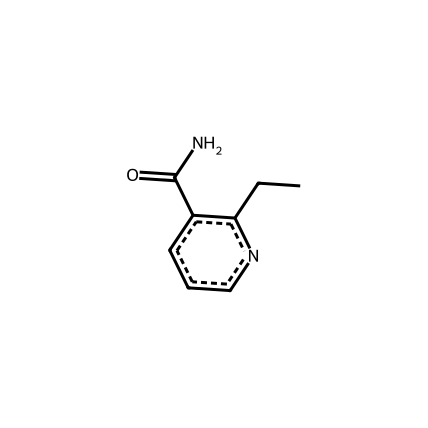 CCc1ncccc1C(N)=O